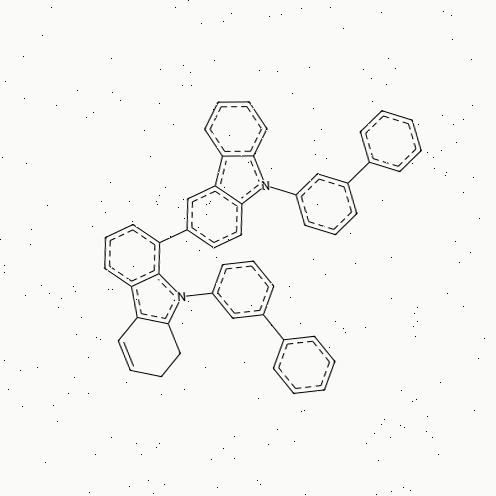 C1=Cc2c(n(-c3cccc(-c4ccccc4)c3)c3c(-c4ccc5c(c4)c4ccccc4n5-c4cccc(-c5ccccc5)c4)cccc23)CC1